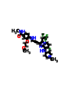 CNC(=O)c1ccc(NCC#Cc2nc3c(N[C@@H]4CCN(C)C[C@@H]4F)cccn3c2CC(F)(F)F)c(OCCOC)c1